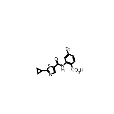 CCc1ccc(C(=O)O)c(NC(=O)c2cnc(C3CC3)s2)c1